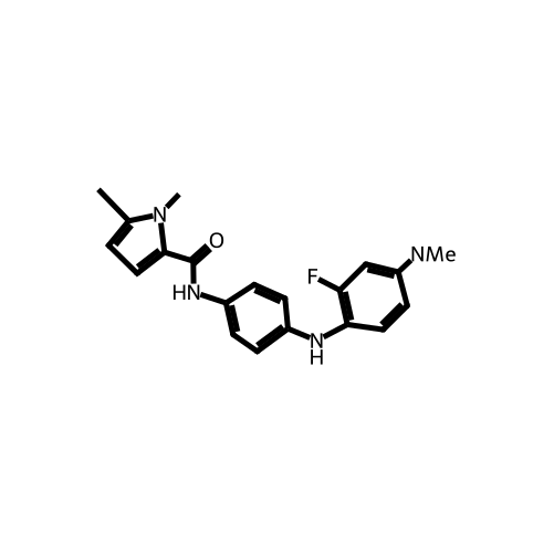 CNc1ccc(Nc2ccc(NC(=O)c3ccc(C)n3C)cc2)c(F)c1